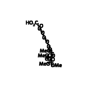 COCC(C)(COC)C(=O)OC(C)(OC(=O)C(C)(COC)COCOCCOCCOCCOCCOC(=O)CCC(=O)O)C(=O)OC